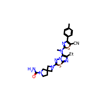 CCc1nc2sc(N3CC4(CCN(C(N)=O)C4)C3)nn2c1N(C)c1nc(-c2ccc(C)cc2)c(C#N)s1